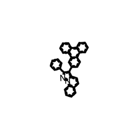 c1ccc(-c2nn3c(ccc4ccccc43)c2-c2ccc3c4ccccc4c4ccccc4c3c2)cc1